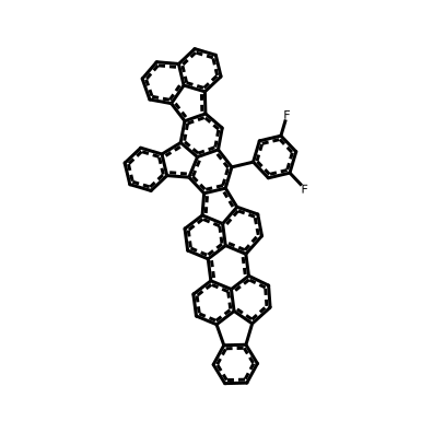 Fc1cc(F)cc(-c2c3cc4c5cccc6cccc(c65)c4c4c5ccccc5c(c5c6ccc7c8ccc9c%10c(ccc(c%11ccc(c25)c6c%117)c%108)-c2ccccc2-9)c34)c1